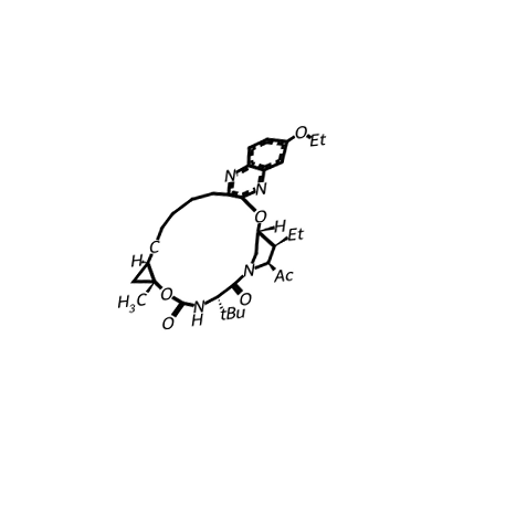 CCOc1ccc2nc3c(nc2c1)O[C@H]1CN(C(=O)[C@H](C(C)(C)C)NC(=O)O[C@]2(C)C[C@H]2CCCCC3)[C@H](C(C)=O)[C@@H]1CC